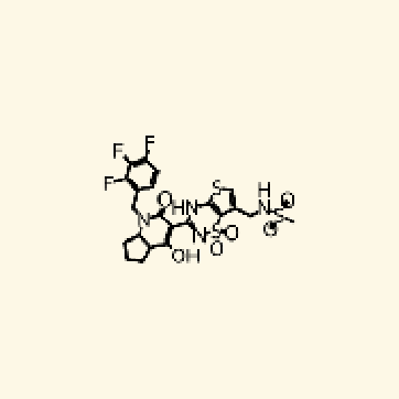 CS(=O)(=O)NCc1csc2c1S(=O)(=O)N=C(C1=C(O)C3CCCC3N(Cc3ccc(F)c(F)c3F)C1=O)N2